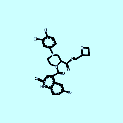 O=C(NCC1CCO1)C1CN(c2ccc(Cl)c(Cl)c2)CCN1C(=O)c1cc(=O)[nH]c2ccc(Br)cc12